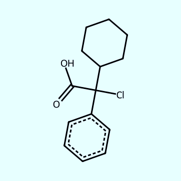 O=C(O)C(Cl)(c1ccccc1)C1CCCCC1